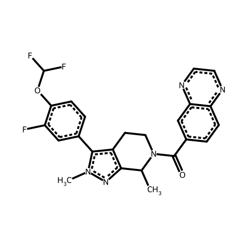 CC1c2nn(C)c(-c3ccc(OC(F)F)c(F)c3)c2CCN1C(=O)c1ccc2nccnc2c1